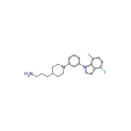 Cc1ccc(F)c2ccn(-c3cccc(N4CCC(CCCN)CC4)c3)c12